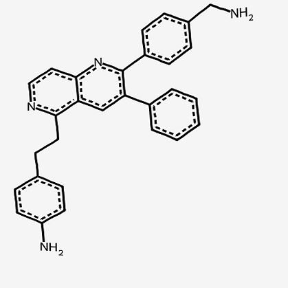 NCc1ccc(-c2nc3ccnc(CCc4ccc(N)cc4)c3cc2-c2ccccc2)cc1